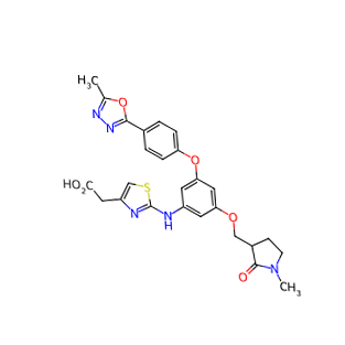 Cc1nnc(-c2ccc(Oc3cc(Nc4nc(CC(=O)O)cs4)cc(OCC4CCN(C)C4=O)c3)cc2)o1